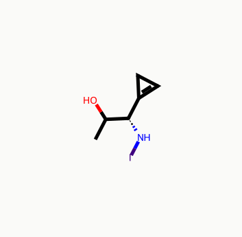 CC(O)[C@@H](NI)C1=CC1